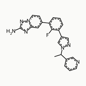 CC(c1cccnc1)n1cc(-c2cccc(-c3ccn4nc(N)nc4c3)c2F)cn1